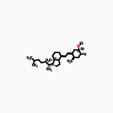 [2H]O[C@]1([2H])C/C(=C/C=C2CCC[C@@]3(C)C2CC[C@@H]3[C@H](C)CCCC(C)C)C(=C)CC1[2H]